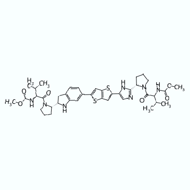 COC(=O)NC(C(=O)N1CCC[C@H]1c1ncc(-c2cc3sc(-c4ccc5c(c4)NC([C@@H]4CCCN4C(=O)[C@@H](NC(=O)OC)C(C)C)C5)cc3s2)[nH]1)C(C)C